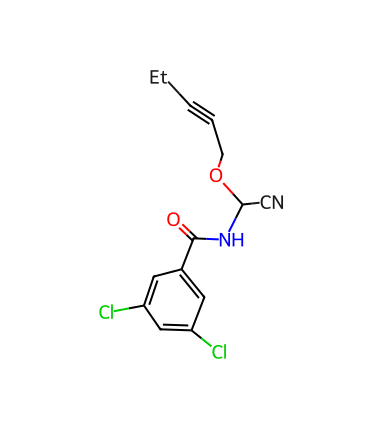 CCC#CCOC(C#N)NC(=O)c1cc(Cl)cc(Cl)c1